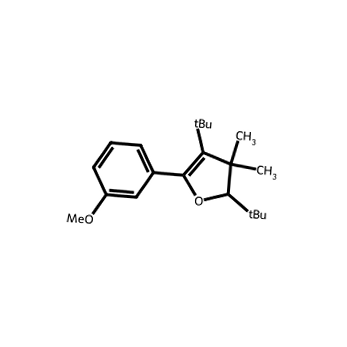 COc1cccc(C2=C(C(C)(C)C)C(C)(C)C(C(C)(C)C)O2)c1